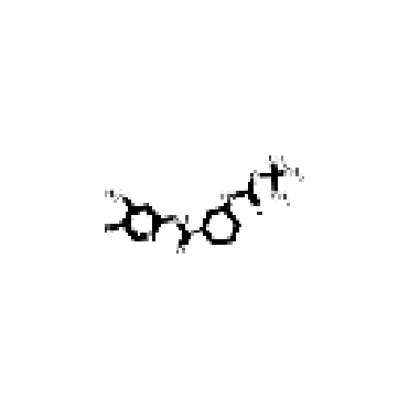 Cc1cc(NC(=O)[C@@H]2CCCC(NC(=O)OC(C)(C)C)C2)ncc1F